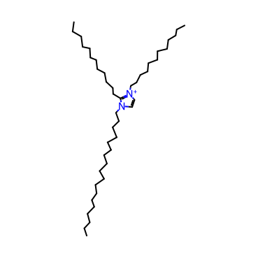 CCCCCCCCCCCCCCCCCCn1cc[n+](CCCCCCCCCCCC)c1CCCCCCCCCCCC